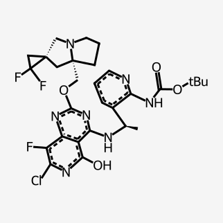 C[C@@H](Nc1nc(OC[C@@]23CCCN2C[C@]2(CC2(F)F)C3)nc2c(F)c(Cl)nc(O)c12)c1cccnc1NC(=O)OC(C)(C)C